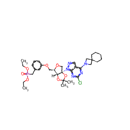 CCOP(=O)(Cc1cccc(OC[C@H]2OC[C@@]3(n4ncc5c(N6CC7(CCCCC7)C6)nc(Cl)nc54)OC(C)(C)O[C@H]23)c1)OCC